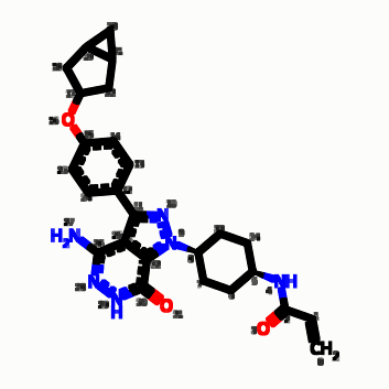 C=CC(=O)N[C@H]1CC[C@@H](n2nc(-c3ccc(OC4CC5CC5C4)cc3)c3c(N)n[nH]c(=O)c32)CC1